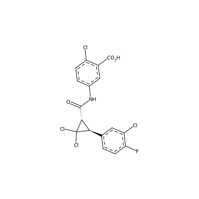 O=C(O)c1cc(NC(=O)[C@@H]2[C@@H](c3ccc(F)c(Cl)c3)C2(Cl)Cl)ccc1Cl